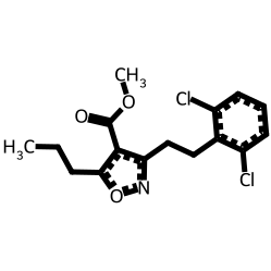 CCCc1onc(CCc2c(Cl)cccc2Cl)c1C(=O)OC